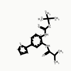 CC(C)C(=O)Nc1cc(-c2cccs2)ccc1NC(=O)OC(C)(C)C